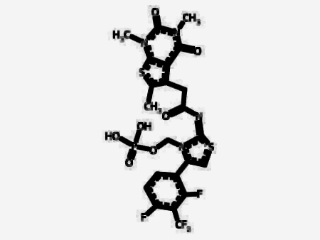 Cc1sc2c(c1CC(=O)N=c1scc(-c3ccc(F)c(C(F)(F)F)c3F)n1COP(=O)(O)O)c(=O)n(C)c(=O)n2C